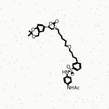 CC(=O)Nc1ccc(NS(=O)(=O)c2cccc(CCCCOCCCCCCN3C[C@@H](c4ccc5c(c4)COC(C)(C)O5)OC3=O)c2)cc1